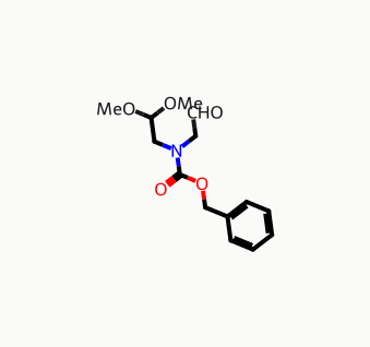 COC(CN(CC=O)C(=O)OCc1ccccc1)OC